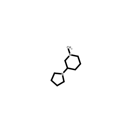 CN1CCCC(N2CCCC2)C1